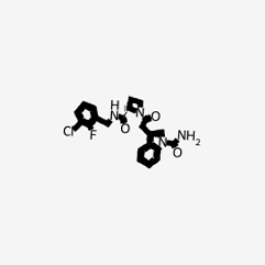 NC(=O)n1cc(CC(=O)N2CC[C@H]2C(=O)NCc2cccc(Cl)c2F)c2ccccc21